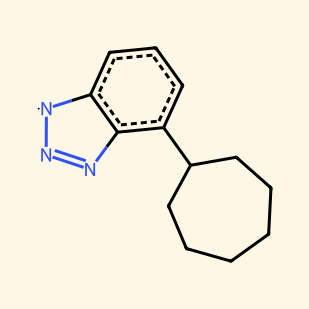 c1cc2c(c(C3CCCCCC3)c1)N=N[N]2